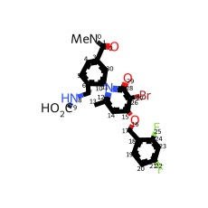 CNC(=O)c1ccc(CNC(=O)O)c(-n2c(C)cc(OCc3ccc(F)cc3F)c(Br)c2=O)c1